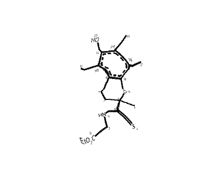 CCOC(=O)CNC(=S)C1(C)CCc2c(C)c(O)c(C)c(C)c2O1